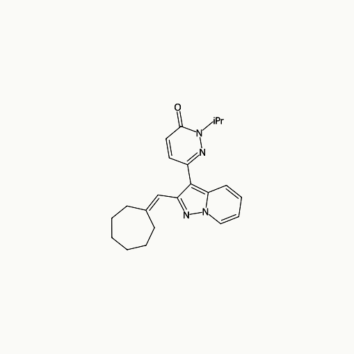 CC(C)n1nc(-c2c(C=C3CCCCCC3)nn3ccccc23)ccc1=O